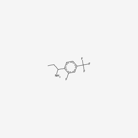 CCC(N)c1ccc(C(F)(F)F)cc1F